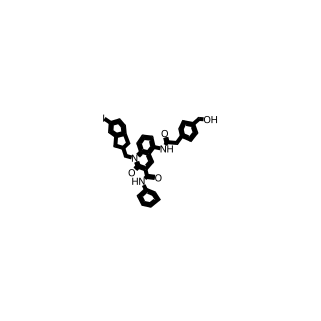 O=C(Cc1ccc(CO)cc1)Nc1cccc2c1cc(C(=O)Nc1ccccc1)c(=O)n2CC1Cc2ccc(I)cc2C1